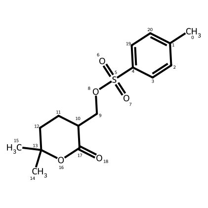 Cc1ccc(S(=O)(=O)OCC2CCC(C)(C)OC2=O)cc1